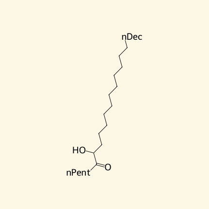 CCCCCCCCCCCCCCCCCCCCCC(O)C(=O)CCCCC